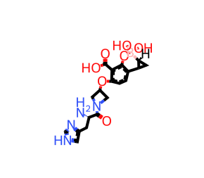 N[C@@H](Cc1c[nH]cn1)C(=O)N1CC(Oc2ccc3c(c2C(=O)O)O[B-](O)(O)[C@@H]2CC32)C1